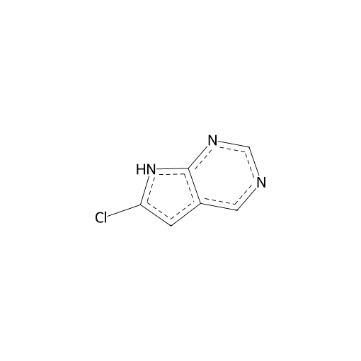 Clc1cc2cncnc2[nH]1